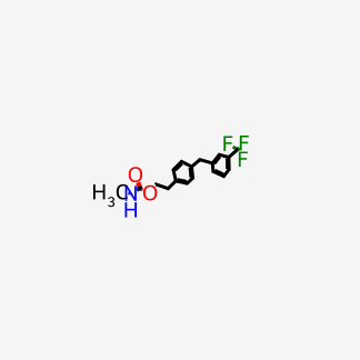 CNC(=O)OCCc1ccc(Cc2cccc(C(F)(F)F)c2)cc1